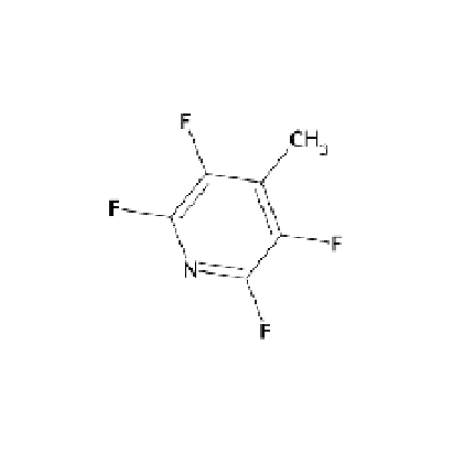 Cc1c(F)c(F)nc(F)c1F